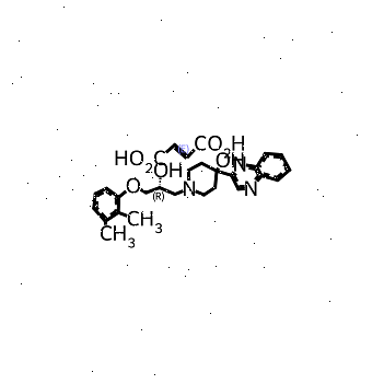 Cc1cccc(OC[C@H](O)CN2CCC(O)(c3cnc4ccccc4n3)CC2)c1C.O=C(O)/C=C/C(=O)O